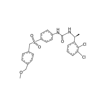 COCc1ccc(CS(=O)(=O)c2ccc(NC(=O)N[C@@H](C)c3cccc(Cl)c3Cl)cc2)cc1